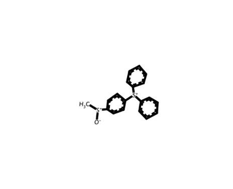 C[S+]([O-])c1ccc([S+](c2ccccc2)c2ccccc2)cc1